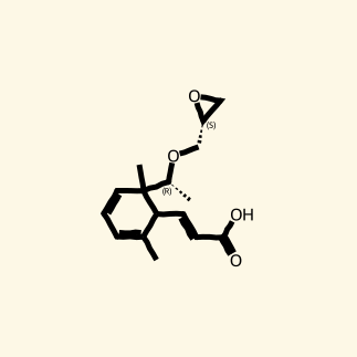 CC1=CC=CC(C)([C@@H](C)OC[C@H]2CO2)C1C=CC(=O)O